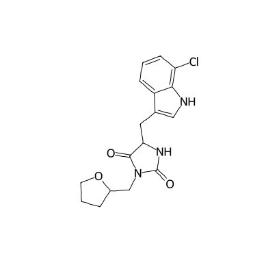 O=C1NC(Cc2c[nH]c3c(Cl)cccc23)C(=O)N1CC1CCCO1